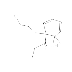 CCC(=O)C1(OCCO)C=CC=CC1(C)O